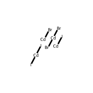 [Br][Cd].[Br][Cd][Br].[Cd][I].[I][Cd][I]